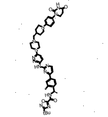 Cc1cc(-c2ccnc(Nc3ccc(N4CCN(CC5CCN(c6ccc(N7CCC(=O)NC7=O)cc6)CC5)CC4)nn3)n2)ccc1[C@@H](C)NC(=O)c1nc(C(C)(C)C)no1